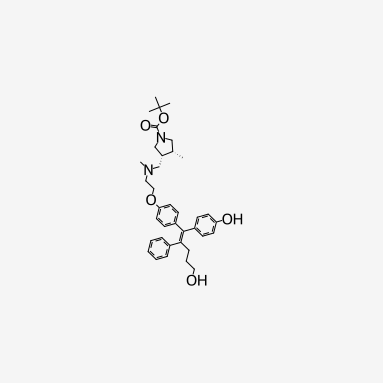 C[C@H]1CN(C(=O)OC(C)(C)C)C[C@H]1CN(C)CCOc1ccc(/C(=C(/CCCO)c2ccccc2)c2ccc(O)cc2)cc1